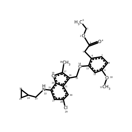 CCOC(=O)Cc1ccc(OC)cc1OCc1c(C)oc2c(NCC3CC3)cc(Cl)cc12